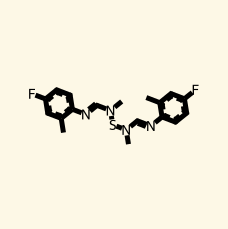 Cc1cc(F)ccc1N=CN(C)SN(C)C=Nc1ccc(F)cc1C